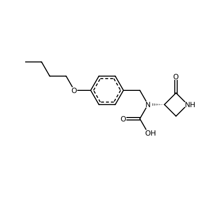 CCCCOc1ccc(CN(C(=O)O)[C@H]2CNC2=O)cc1